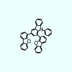 c1ccc(-n2c3ccccc3c3cc(-c4cccc5c4oc4ccccc45)cc(-c4cccc5c4oc4ccccc45)c32)cc1